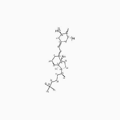 C=C1[C@H](O)CC(=C/C=C2\CCC[C@]3(C)[C@@H]([C@@H](C)CCCC(C)(C)C)CC[C@@H]23)C[C@H]1O